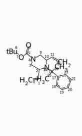 C=CC1CN(C(=O)OC(C)(C)C)CC(C=C)N1C(C)(C)c1ccccc1